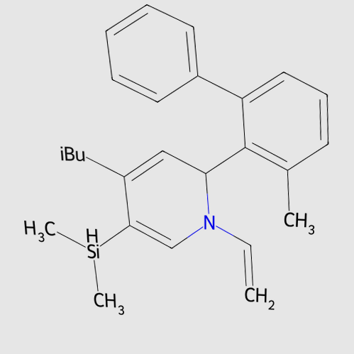 C=CN1C=C([SiH](C)C)C(C(C)CC)=CC1c1c(C)cccc1-c1ccccc1